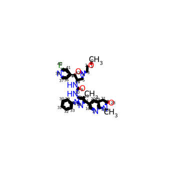 COCCN1C[C@@H](NC(=O)Nc2c(C)c(-c3cnc4c(c3)CC(=O)N4C)nn2-c2ccccc2)[C@H](c2ccnc(F)c2)O1